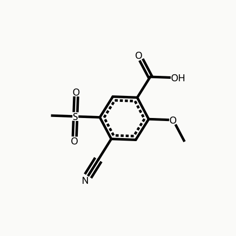 COc1cc(C#N)c(S(C)(=O)=O)cc1C(=O)O